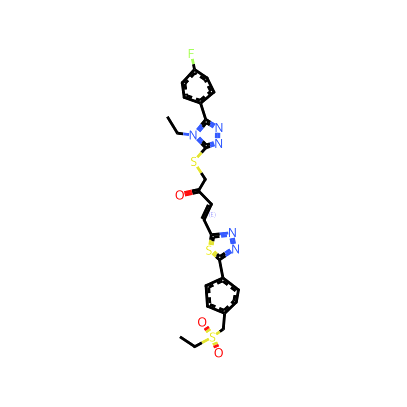 CCn1c(SCC(=O)/C=C/c2nnc(-c3ccc(CS(=O)(=O)CC)cc3)s2)nnc1-c1ccc(F)cc1